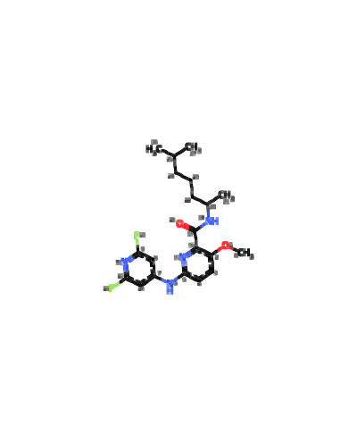 COc1ccc(Nc2cc(F)nc(F)c2)nc1C(=O)NC(C)CCCC(C)C